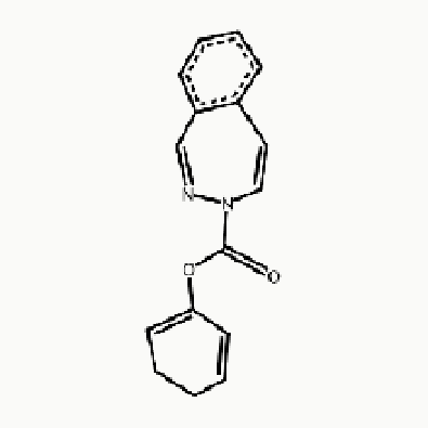 O=C(OC1=CCCC=C1)N1C=Cc2ccccc2C=N1